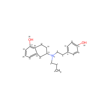 CCCN(CCc1ccc(O)cc1)C1CCc2c(O)cccc2C1